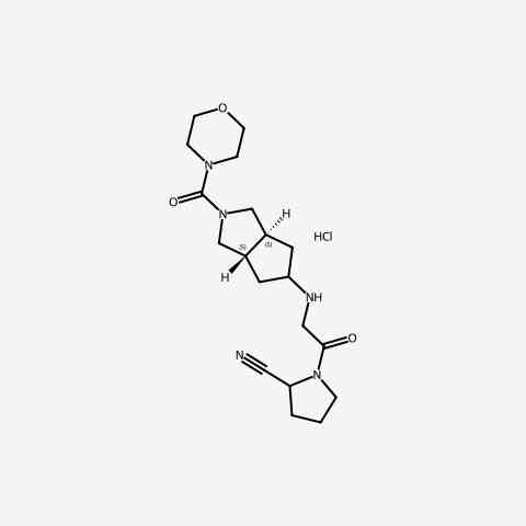 Cl.N#CC1CCCN1C(=O)CNC1C[C@@H]2CN(C(=O)N3CCOCC3)C[C@H]2C1